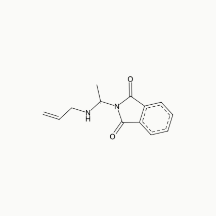 C=CCN[C](C)N1C(=O)c2ccccc2C1=O